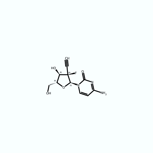 C#C[C@@]1(F)[C@H](O)[C@@H](CO)O[C@@H]1n1ccc(N)nc1=O